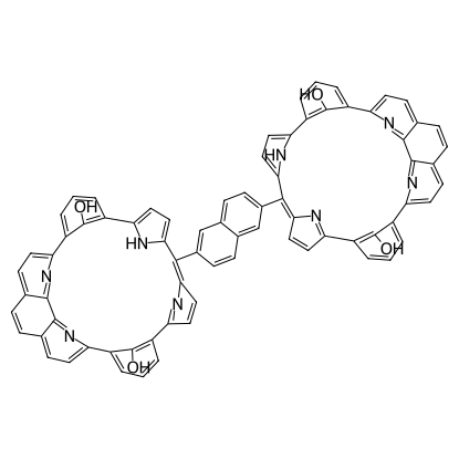 Oc1c2cccc1c1ccc3ccc4ccc(nc4c3n1)c1cccc(c1O)c1ccc([nH]1)c(-c1ccc3cc(-c4c5nc(c6cccc(c6O)c6ccc7ccc8ccc(nc8c7n6)c6cccc(c6O)c6ccc4[nH]6)C=C5)ccc3c1)c1nc2C=C1